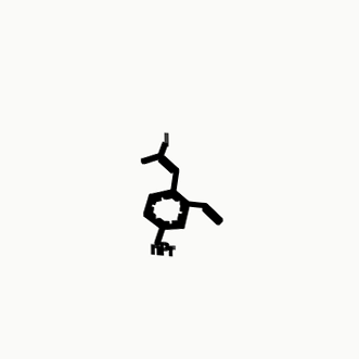 C=Cc1cc(CCC)ccc1/C=C(\C)I